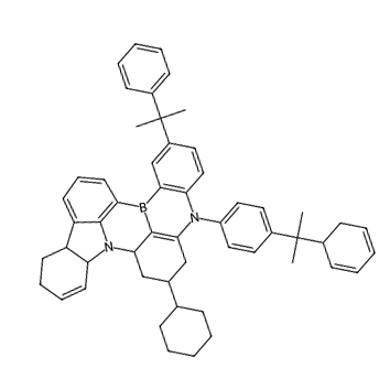 CC(C)(c1ccccc1)c1ccc2c(c1)B1C3=C(CC(C4CCCCC4)CC3N3c4c1cccc4C1CCC=CC13)N2c1ccc(C(C)(C)C2C=CC=CC2)cc1